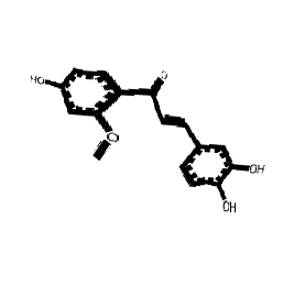 COc1cc(O)ccc1C(=O)/C=C/c1ccc(O)c(O)c1